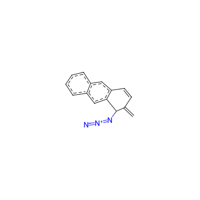 C=C1C=Cc2cc3ccccc3cc2C1N=[N+]=[N-]